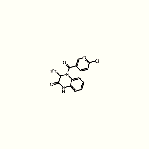 CCCC1C(=O)Nc2ccccc2N1C(=O)c1ccc(Cl)nc1